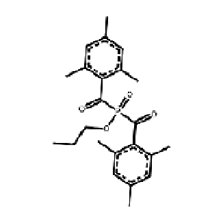 CCCOP(=O)(C(=O)c1c(C)cc(C)cc1C)C(=O)c1c(C)cc(C)cc1C